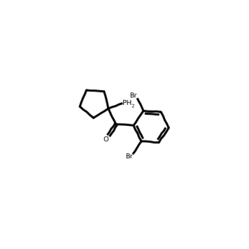 O=C(c1c(Br)cccc1Br)C1(P)CCCC1